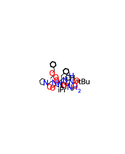 CC(C)[C@@H](C(=O)N[C@@H](CC(=O)OCc1ccccc1)C(=O)N1CCCCC1)N(C)C(=O)C(Cc1ccccc1)N(C)C(=O)[C@H](N)NC(=O)OC(C)(C)C